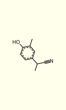 Cc1cc(C(C)C#N)c[c]c1O